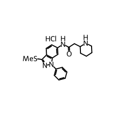 CSc1nn(-c2ccccc2)c2cc(NC(=O)CC3CCCCN3)ccc12.Cl